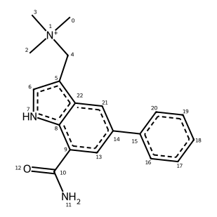 C[N+](C)(C)Cc1c[nH]c2c(C(N)=O)cc(-c3ccccc3)cc12